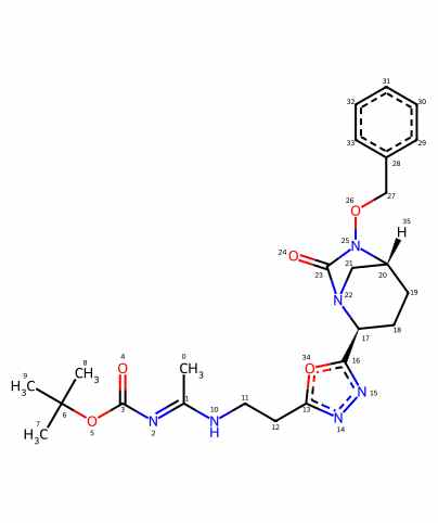 C/C(=N\C(=O)OC(C)(C)C)NCCc1nnc([C@@H]2CC[C@@H]3CN2C(=O)N3OCc2ccccc2)o1